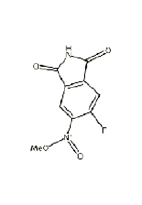 CO[N+](=O)c1cc2c(cc1F)C(=O)NC2=O